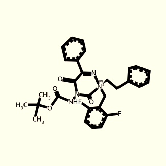 CC(C)(C)OC(=O)NN1C(=O)C(c2ccccc2)=N[N@+](CCc2ccccc2)(Cc2c(F)cccc2F)C1=O